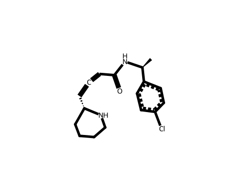 C[C@H](NC(=O)C=C=C[C@H]1CCCCN1)c1ccc(Cl)cc1